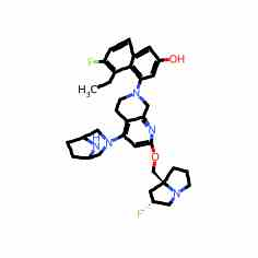 CCc1c(F)ccc2cc(O)cc(N3CCc4c(N5CC6CCC(C5)N6)cc(OC[C@@]56CCCN5C[C@H](F)C6)nc4C3)c12